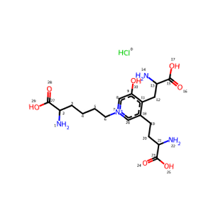 Cl.NC(CCCC[n+]1cc(O)c(CC(N)C(=O)O)c(CCC(N)C(=O)O)c1)C(=O)O